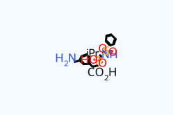 CC(C)C(NS(=O)(=O)c1ccccc1)P(=O)(O)CC(C(=O)O)c1cccc(CN)c1